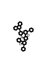 c1ccc(-c2cccc3c2oc2cccc(N(c4ccc(-c5cc6ccccc6c6ccccc56)cc4)c4cccc5oc6c(-c7ccccc7)cccc6c45)c23)cc1